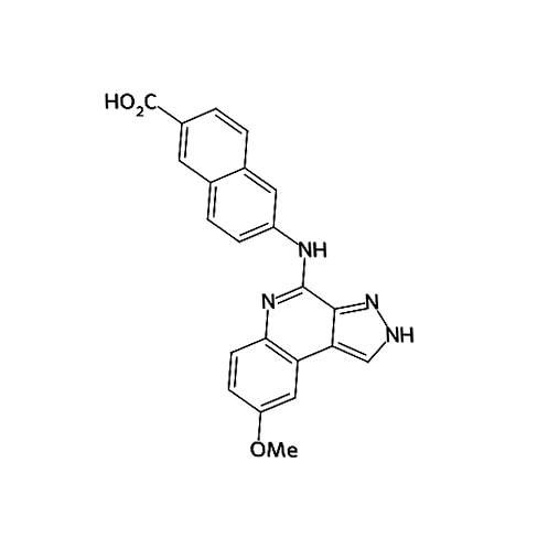 COc1ccc2nc(Nc3ccc4cc(C(=O)O)ccc4c3)c3n[nH]cc3c2c1